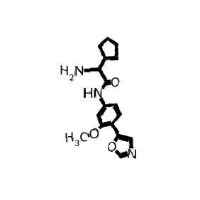 COc1cc(NC(=O)C(N)C2CCCC2)ccc1-c1cnco1